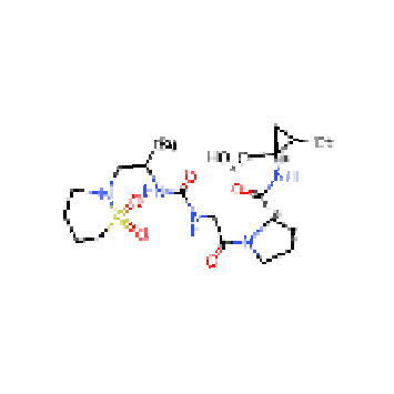 CCC1C[C@]1(NC(=O)[C@@H]1CCCN1C(=O)CNC(=O)NC(CN1CCCCS1(=O)=O)C(C)(C)C)C(=O)O